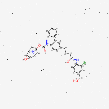 CN1C2CC(OC(=O)Nc3ccc(CCCC(=O)Nc4ccc(CO)cc4Br)cc3-c3ccccc3)CC1C1OC12